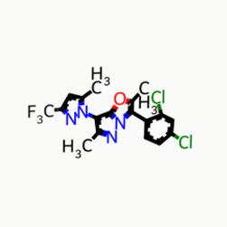 Cc1nn2c(-c3ccc(Cl)cc3Cl)c(C)oc2c1-n1nc(C(F)(F)F)cc1C